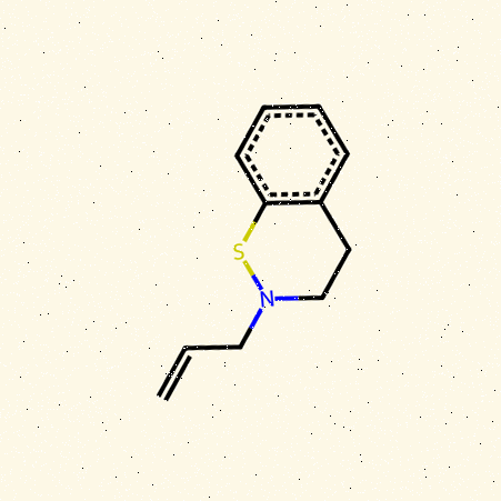 C=CCN1CCc2ccccc2S1